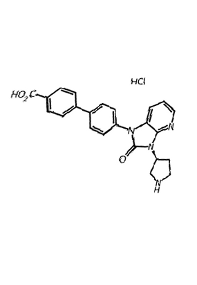 Cl.O=C(O)c1ccc(-c2ccc(-n3c(=O)n([C@H]4CCNC4)c4ncccc43)cc2)cc1